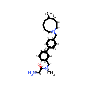 CC1CCCCN(Cc2ccc(-c3cccc(CN(C)C(=O)CN)c3)cc2)CCC1